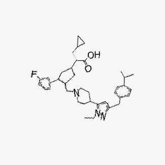 CCn1nc(Cc2ccc(C(C)C)cc2)cc1C1CCN(CC2CC([C@H](CC3CC3)C(=O)O)CC2c2cccc(F)c2)CC1